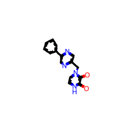 O=c1[nH]ccn(Cc2cnc(-c3ccccc3)cn2)c1=O